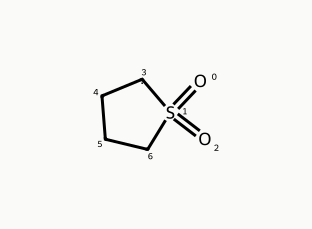 O=S1(=O)[CH]CCC1